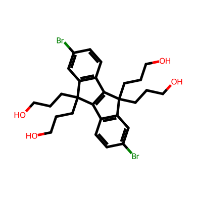 OCCCC1(CCCO)C2=C(c3ccc(Br)cc31)C(CCCO)(CCCO)c1cc(Br)ccc12